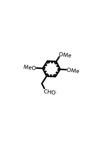 COc1cc(OC)c(OC)cc1C[C]=O